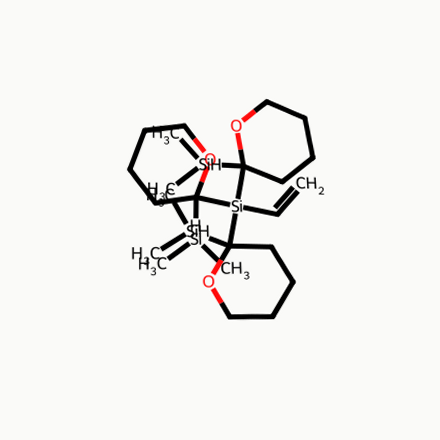 C=C[Si](C1([SiH](C)C)CCCCO1)(C1([SiH](C)C)CCCCO1)C1([SiH](C)C)CCCCO1